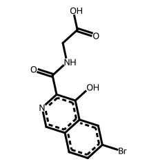 O=C(O)CNC(=O)c1ncc2ccc(Br)cc2c1O